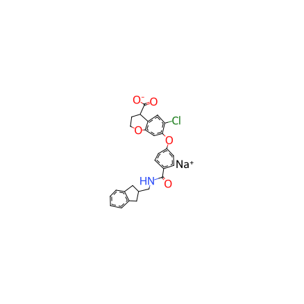 O=C(NCC1Cc2ccccc2C1)c1ccc(Oc2cc3c(cc2Cl)C(C(=O)[O-])CCO3)cc1.[Na+]